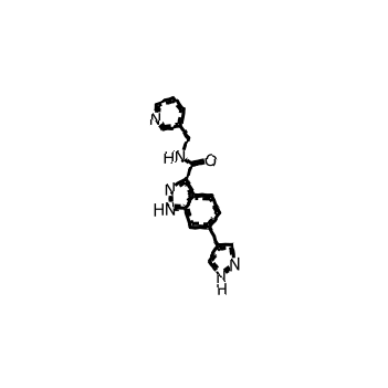 O=C(NCc1cccnc1)c1n[nH]c2cc(-c3cn[nH]c3)ccc12